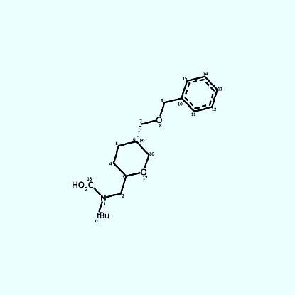 CC(C)(C)N(CC1CC[C@H](COCc2ccccc2)CO1)C(=O)O